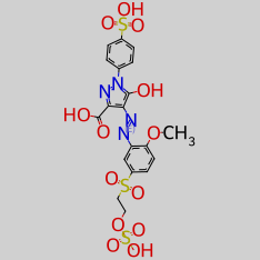 COc1ccc(S(=O)(=O)CCOS(=O)(=O)O)cc1/N=N/c1c(C(=O)O)nn(-c2ccc(S(=O)(=O)O)cc2)c1O